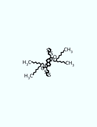 CCCCCCCCC(CCCCCC)CN1C(=O)C(c2cc3sccc3s2)=c2ccc3c4c(ccc3c21)=C(c1cc2sccc2s1)C(=O)N4CC(CCCCCC)CCCCCCCC